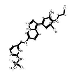 CS(=O)(=O)Nc1nccc(COc2ccc3c(-c4cc(Cl)c(OCCCl)c(C#N)c4)cnn3c2)n1